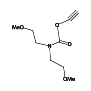 C#COC(=O)N(CCOC)CCOC